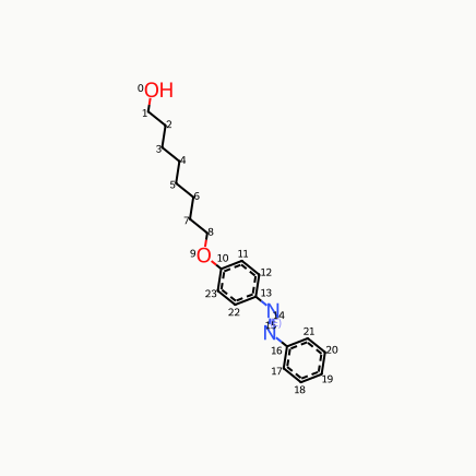 OCCCCCCCCOc1ccc(/N=N/c2ccccc2)cc1